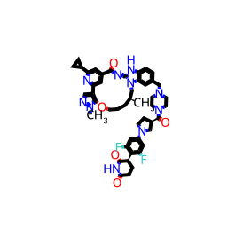 C[C@@H]1CCCOc2c(cnn2C)-c2cc(cc(C3CC3)n2)C(=O)/N=C2\Nc3ccc(CN4CCN(C(=O)[C@@H]5CCN(c6cc(F)c([C@H]7CCC(=O)NC7=O)c(F)c6)C5)CC4)cc3N2C1